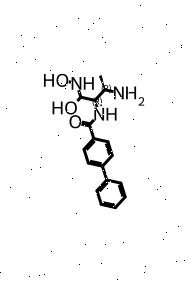 C[C@@H](N)[C@@H](NC(=O)c1ccc(-c2ccccc2)cc1)C(O)NO